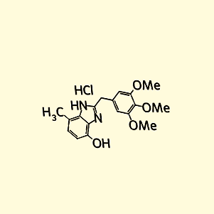 COc1cc(Cc2nc3c(O)ccc(C)c3[nH]2)cc(OC)c1OC.Cl